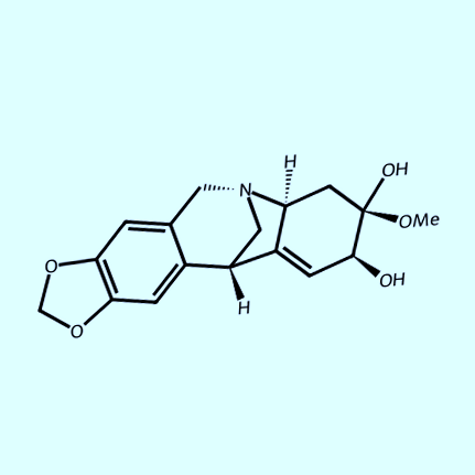 CO[C@]1(O)C[C@H]2C(=C[C@@H]1O)[C@H]1C[N@]2Cc2cc3c(cc21)OCO3